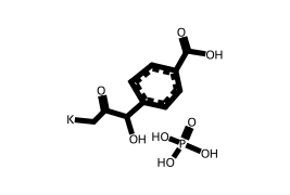 O=C(O)c1ccc(C(O)C(=O)[CH2][K])cc1.O=P(O)(O)O